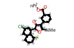 CCCOC(=O)c1cccc(C2=C(NC)OC(c3cc(Cl)cc4cccc(F)c34)C2=O)c1